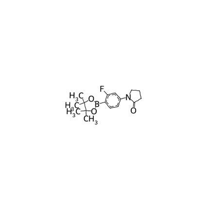 CC1(C)OB(c2ccc(N3CCCC3=O)cc2F)OC1(C)C